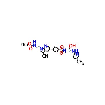 CC(C)(C)OC(=O)NCCn1cc(C#N)c2cc(-c3ccc(S(=O)(=O)N4CC[C@@H](Nc5ccc(C(F)(F)F)cn5)[C@@H](O)C4)cc3)cnc21